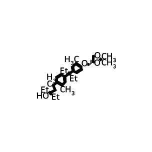 CCC(O)(CC)CC(C)c1ccc(C(CC)(CC)c2ccc(OC[C@@H]3COC(C)(C)O3)c(C)c2)cc1C